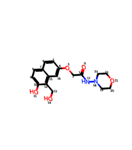 O=C(COc1ccc2ccc(O)c(CO)c2c1)NN1CCOCC1